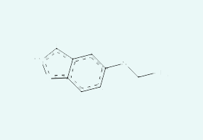 CCNc1ccc2sncc2c1